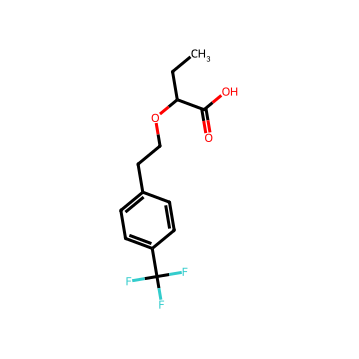 CCC(OCCc1ccc(C(F)(F)F)cc1)C(=O)O